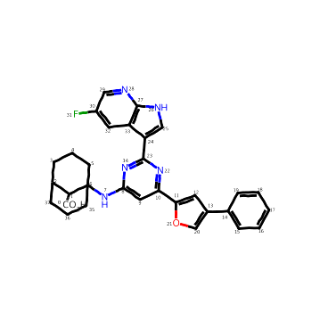 O=C(O)C1C2CCCC1(Nc1cc(-c3cc(-c4ccccc4)co3)nc(-c3c[nH]c4ncc(F)cc34)n1)CCC2